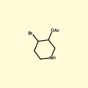 CC(=O)OC1CNCCC1Br